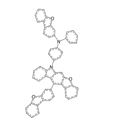 c1ccc(N(c2ccc(-n3c4ccccc4c4c(-c5ccc6c(c5)oc5ccccc56)c5c(cc43)oc3ccccc35)cc2)c2ccc3c(c2)oc2ccccc23)cc1